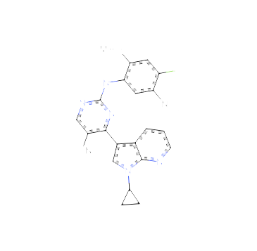 COc1cc(F)c([N+](=O)[O-])cc1Nc1ncc(C#N)c(-c2cn(C3CC3)c3ncccc23)n1